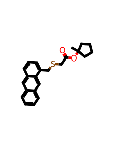 CC1(OC(=O)CSCc2cccc3cc4ccccc4cc23)CCCC1